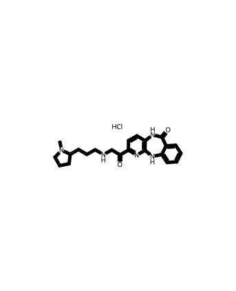 CN1CCCC1CCCNCC(=O)c1ccc2c(n1)Nc1ccccc1C(=O)N2.Cl